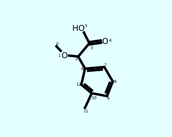 COC(C(=O)O)c1cccc(C)c1